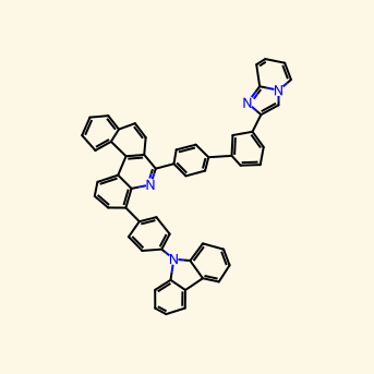 c1cc(-c2ccc(-c3nc4c(-c5ccc(-n6c7ccccc7c7ccccc76)cc5)cccc4c4c3ccc3ccccc34)cc2)cc(-c2cn3ccccc3n2)c1